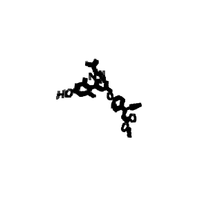 CC#C[C@@H](CC(=O)OCC)c1ccc(OCc2cc(-c3c(C)cc(O)cc3C)c3nc(C(C)C)nn3c2)cc1